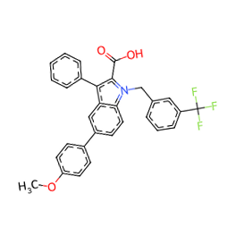 COc1ccc(-c2ccc3c(c2)c(-c2ccccc2)c(C(=O)O)n3Cc2cccc(C(F)(F)F)c2)cc1